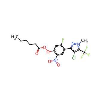 CCCCCC(=O)OOc1cc(F)c(-c2nn(C)c(C(F)(F)F)c2Cl)cc1[N+](=O)[O-]